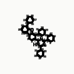 c1ccc(C2=NC(c3ccc4c(oc5c(-c6ccccc6)cccc54)c3-c3ccccc3)NC(c3ccccc3)=N2)cc1